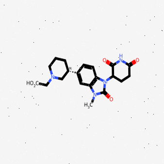 Cn1c(=O)n(C2CCC(=O)NC2=O)c2ccc([C@H]3CCCN(CC(=O)O)C3)cc21